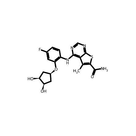 Cc1c(C(N)=O)sc2ncnc(Nc3ccc(F)cc3O[C@H]3C[C@@H](O)[C@@H](O)C3)c12